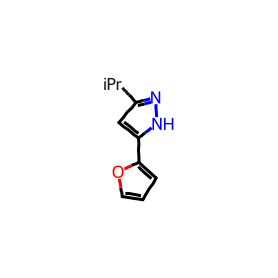 CC(C)c1cc(-c2ccco2)[nH]n1